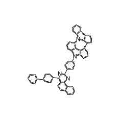 c1ccc(-c2ccc(-c3nc(-c4ccc(-n5c6cccc7c8cccc9c%10ccccc%10n(c%10cccc5c%10c76)c89)cc4)nc4c3ccc3ccccc34)cc2)cc1